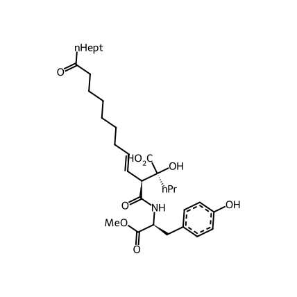 CCCCCCCC(=O)CCCCCC/C=C/[C@H](C(=O)N[C@@H](Cc1ccc(O)cc1)C(=O)OC)[C@@](O)(CCC)C(=O)O